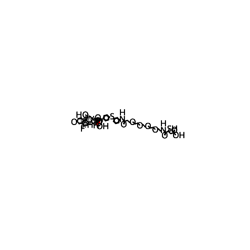 C[C@]12C=CC(=O)C=C1[C@@H](F)C[C@H]1C3C[C@H]4O[C@@H](c5ccc(Sc6cccc(NC(=O)CCOCCOCCOCCOCCNC(=O)C(S)CC(=O)O)c6)cc5)O[C@@]4(C(=O)CO)[C@@]3(C)C[C@H](O)[C@@]12F